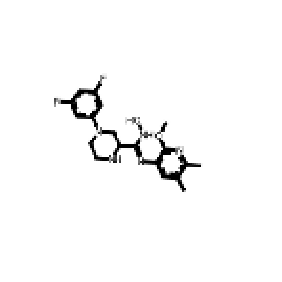 COc1nc(C)c(C)cc1N=C(NO)C1CN(c2cc(F)cc(F)c2)CCN1